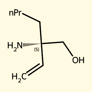 C=C[C@](N)(CO)CCCC